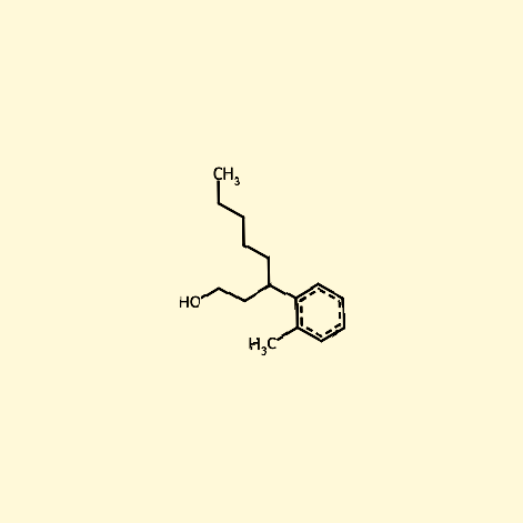 CCCCCC(CCO)c1ccccc1C